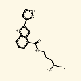 CN(C)CCCNC(=O)c1cccc2[nH]c(-c3cc[nH]n3)cc12